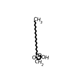 C=C(CC(=O)O)C(=O)OCCCCCCCCCCCCCCCCCC